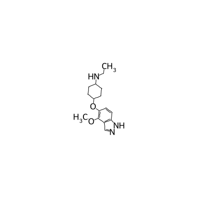 CCNC1CCC(Oc2ccc3[nH]ncc3c2OC)CC1